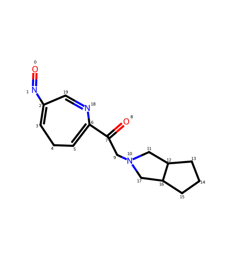 O=NC1=CCC=C(C(=O)CN2CC3CCCC3C2)N=C1